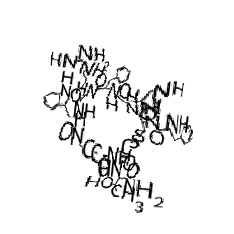 C[C@@H](O)[C@H](NC(=O)[C@H]1CSSC[C@H](NC(=O)[C@H](N)Cc2ccccc2)C(=O)N[C@@H](Cc2c[nH]cn2)C(=O)N[C@H](Cc2ccccc2)C(=O)N[C@@H](CCCNC(=N)N)C(=O)N[C@@H](Cc2c[nH]c3ccccc23)C(=O)NCCCC(=O)N1)C(N)=O